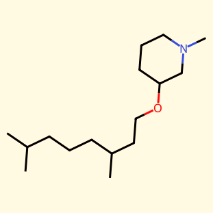 CC(C)CCCC(C)CCOC1CCCN(C)C1